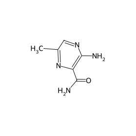 Cc1cnc(N)c(C(N)=O)n1